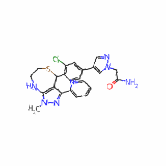 Cn1nc(-c2ccccn2)c2c1NCCSC2c1ccc(-c2cnn(CC(N)=O)c2)cc1Cl